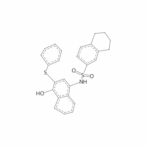 O=S(=O)(Nc1cc(Sc2ccccc2)c(O)c2ccccc12)c1ccc2c(c1)CCCC2